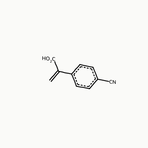 C=C(C(=O)O)c1ccc(C#N)cc1